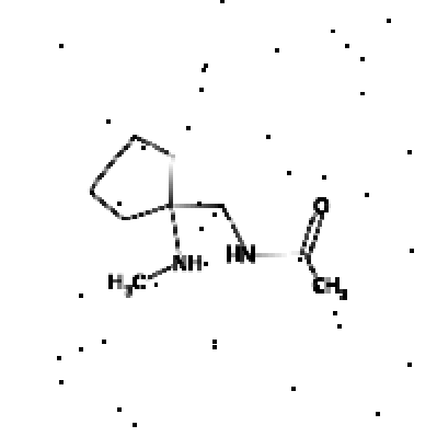 CNC1(CNC(C)=O)CCCC1